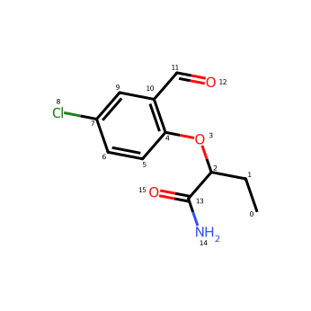 CCC(Oc1ccc(Cl)cc1C=O)C(N)=O